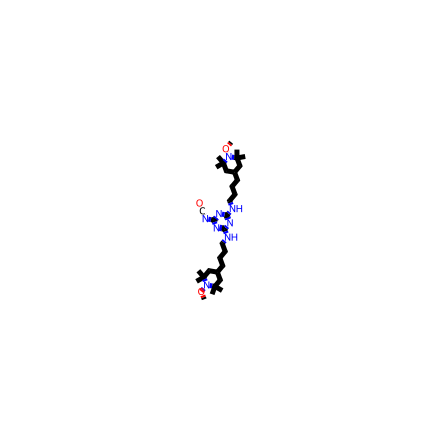 CON1C(C)(C)CC(CCCCNc2nc(N=C=O)nc(NCCCCC3CC(C)(C)N(OC)C(C)(C)C3)n2)CC1(C)C